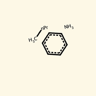 CCCC.N.c1ccccc1